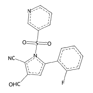 N#Cc1c(C=O)cc(-c2ccccc2F)n1S(=O)(=O)c1cccnc1